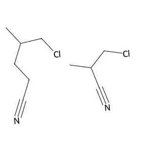 CC(C#N)CCl.CC(CCl)CCC#N